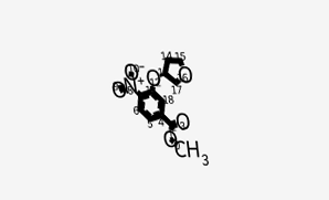 COC(=O)c1ccc([N+](=O)[O-])c(O[C@H]2CCOC2)c1